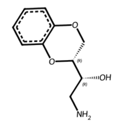 NC[C@@H](O)[C@H]1COc2ccccc2O1